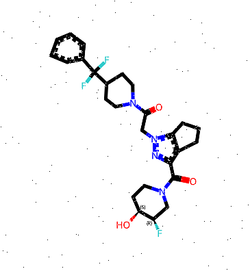 O=C(Cn1nc(C(=O)N2CC[C@H](O)[C@H](F)C2)c2c1CCC2)N1CCC(C(F)(F)c2ccccc2)CC1